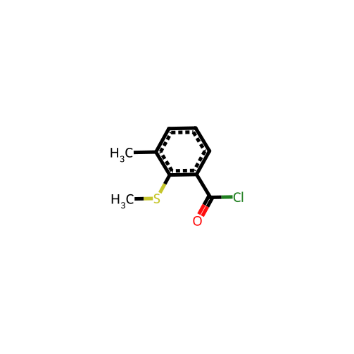 CSc1c(C)cccc1C(=O)Cl